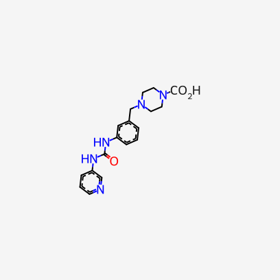 O=C(Nc1cccnc1)Nc1cccc(CN2CCN(C(=O)O)CC2)c1